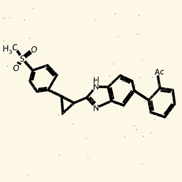 CC(=O)c1ccccc1-c1ccc2[nH]c(C3CC3c3ccc(S(C)(=O)=O)cc3)nc2c1